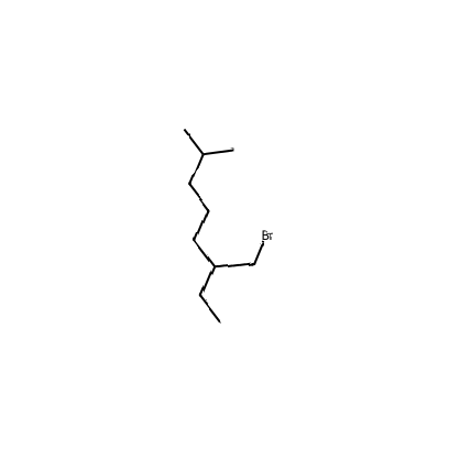 CCC(CBr)CCCC(C)C